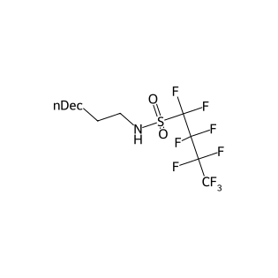 CCCCCCCCCCCCNS(=O)(=O)C(F)(F)C(F)(F)C(F)(F)C(F)(F)F